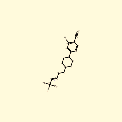 N#Cc1ccc(C2CCC(CC/C=C/C(F)(F)F)CC2)cc1F